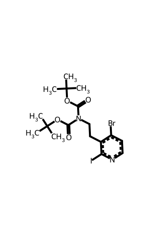 CC(C)(C)OC(=O)N(CCc1c(Br)ccnc1I)C(=O)OC(C)(C)C